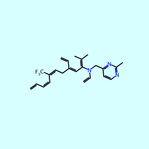 C=C/C=C\C(=C/C/C(C=C)=C/C(=C(C)C)N(C=C)Cc1ccnc(C)n1)C(F)(F)F